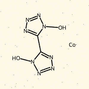 On1nnnc1-c1nnnn1O.[Co]